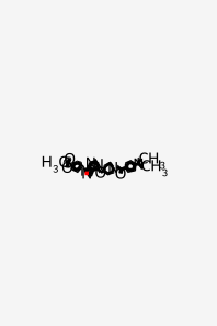 CCN(CC)c1ccc(C(=O)CN2CCC(Oc3ncnc4c3cnn4-c3ccc(S(C)(=O)=O)cc3)CC2)cc1